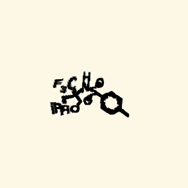 Cc1ccc(S(=O)(=O)NC(CO)(CC(C)C)C(F)(F)F)cc1